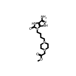 COC(=O)CN1CCN(CCCCn2c(=O)[nH]c3c(N)n[nH]c32)CC1